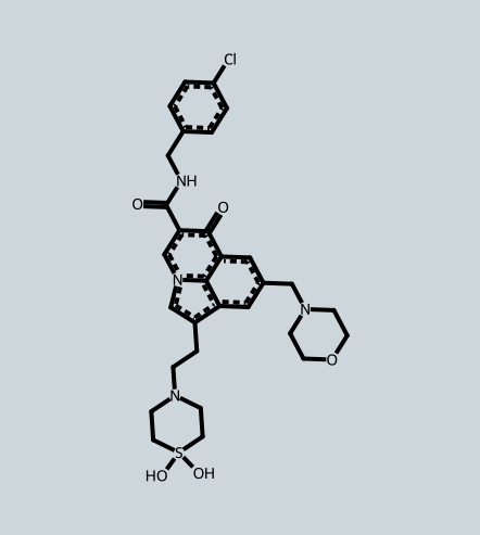 O=C(NCc1ccc(Cl)cc1)c1cn2cc(CCN3CCS(O)(O)CC3)c3cc(CN4CCOCC4)cc(c1=O)c32